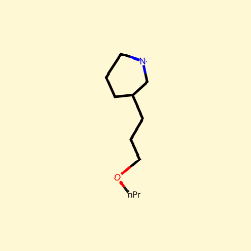 CCCOCCCC1CCC[N]C1